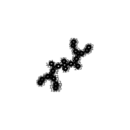 c1ccc(N(c2ccc(-c3c4ccccc4c(-c4ccc(N(c5ccccc5)c5ccc(-n6c7ccc(-c8ccc9ccccc9c8)cc7c7cc(-c8ccc9ccccc9c8)ccc76)cc5)cc4)c4ccccc34)cc2)c2ccc(-n3c4ccc(-c5ccc6ccccc6c5)cc4c4cc(-c5ccc6ccccc6c5)ccc43)cc2)cc1